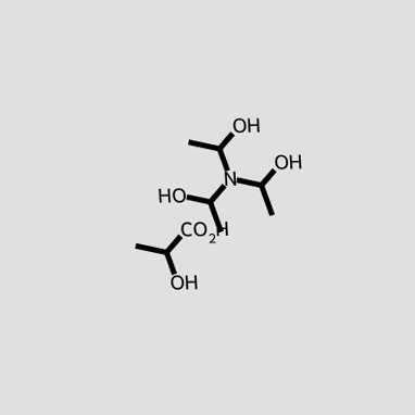 CC(O)C(=O)O.CC(O)N(C(C)O)C(C)O